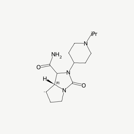 CC(C)N1CCC(N2C(=O)N3CC[CH][C@@H]3C2C(N)=O)CC1